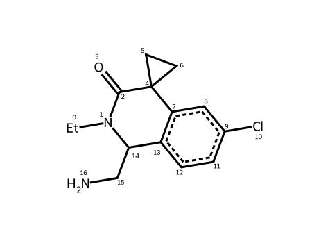 CCN1C(=O)C2(CC2)c2cc(Cl)ccc2C1CN